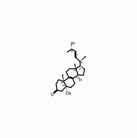 CC(C)[C@@H](C)/C=C/[C@@H](C)[C@H]1CC[C@H]2C3=C(CC[C@]12C)[C@@]1(C)CCC(=O)C[C@]1(C#N)CC3